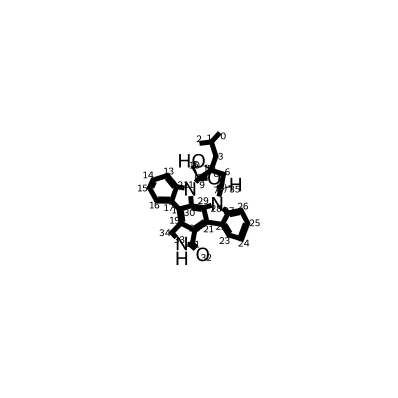 CC(C)C[C@@]1(O)C[C@@H]2O[C@]1(C)n1c3ccccc3c3c4c(c5c6ccccc6n2c5c31)C(=O)NC4